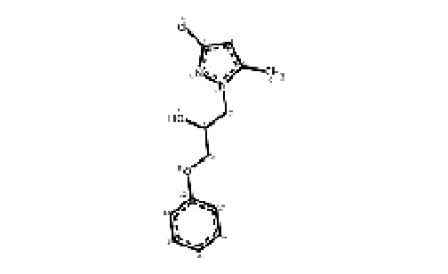 Cc1cc(Cl)nn1CC(O)COc1ccccc1